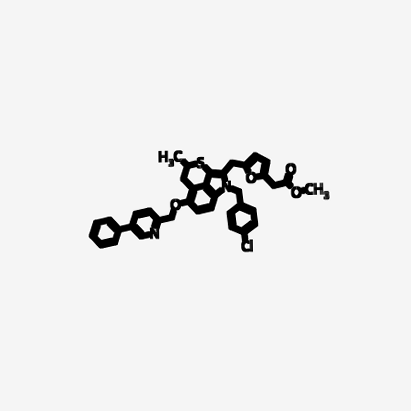 COC(=O)Cc1ccc(Cc2c3c4c(c(OCc5ccc(-c6ccccc6)cn5)ccc4n2Cc2ccc(Cl)cc2)CC(C)S3)o1